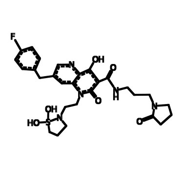 O=C(NCCCN1CCCC1=O)c1c(O)c2ncc(Cc3ccc(F)cc3)cc2n(CCN2CCCS2(O)O)c1=O